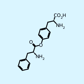 N[C@@H](Cc1ccc(OC(=O)[C@@H](N)Cc2ccccc2)cc1)C(=O)O